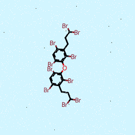 Brc1cc(Br)c(Oc2c(Br)cc(Br)c(CCC(Br)Br)c2Br)c(Br)c1CCC(Br)Br